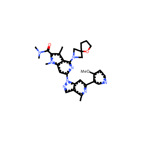 COc1ccncc1-c1cc2c(cnn2-c2cc3c(c(N4CC5(CCCO5)C4)n2)c(C)c(C(=O)N(C)C)n3C)c(C)n1